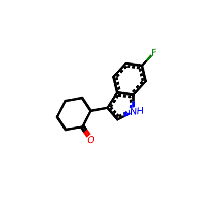 O=C1CCCCC1c1c[nH]c2cc(F)ccc12